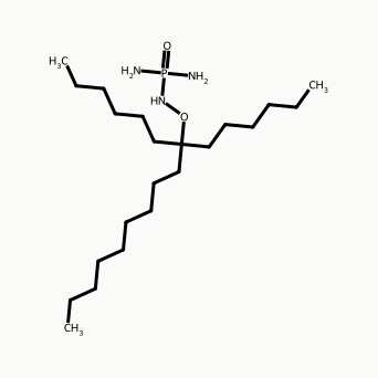 CCCCCCCCCC(CCCCCC)(CCCCCC)ONP(N)(N)=O